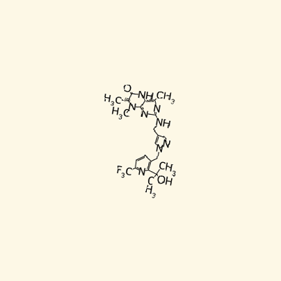 Cc1nc(NCc2cnn(Cc3ccc(C(F)(F)F)nc3C(C)(C)O)c2)nc2c1NC(=O)[C@H](C)N2C